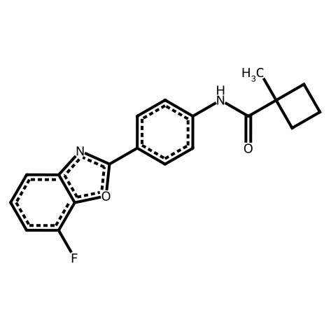 CC1(C(=O)Nc2ccc(-c3nc4cccc(F)c4o3)cc2)CCC1